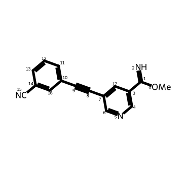 COC(=N)c1cncc(C#Cc2cccc(C#N)c2)c1